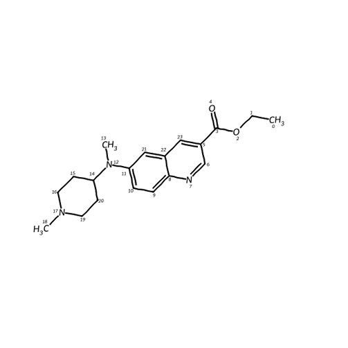 CCOC(=O)c1cnc2ccc(N(C)C3CCN(C)CC3)cc2c1